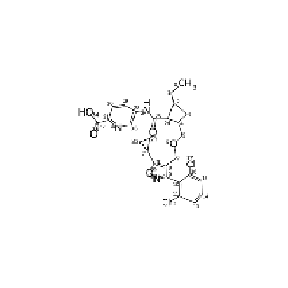 CCC1CC(COCc2c(-c3c(Cl)cccc3Cl)noc2C2CC2)C1C(=O)Nc1ccc(C(=O)O)nc1